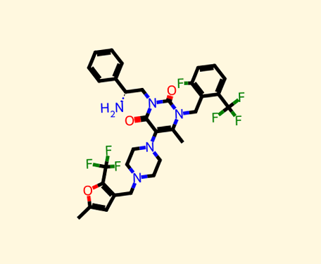 Cc1cc(CN2CCN(c3c(C)n(Cc4c(F)cccc4C(F)(F)F)c(=O)n(C[C@H](N)c4ccccc4)c3=O)CC2)c(C(F)(F)F)o1